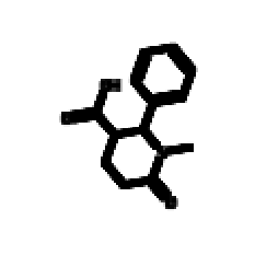 CN1C(=O)CCC(C(=O)O)C1c1ccccc1